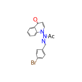 CC(=O)N(N=Cc1ccc(Br)cc1)n1ccc(=O)c2ccccc21